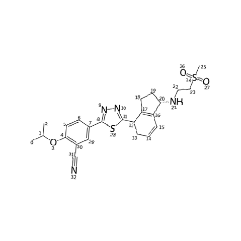 CC(C)Oc1ccc(-c2nnc(C3CC=CC4=C3CC[C@@H]4NCCS(C)(=O)=O)s2)cc1C#N